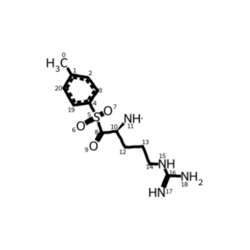 Cc1ccc(S(=O)(=O)C(=O)[C@@H]([NH])CCCNC(=N)N)cc1